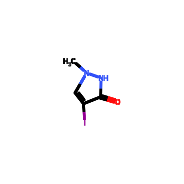 Cn1cc(I)c(=O)[nH]1